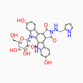 O=C1c2c(c3c4ccc(O)cc4n([C@@H]4O[C@H](CO)[C@@H](O)[C@H](O)[C@H]4O)c3c3[nH]c4cc(O)ccc4c23)C(=O)N1NCc1ccc[nH]1